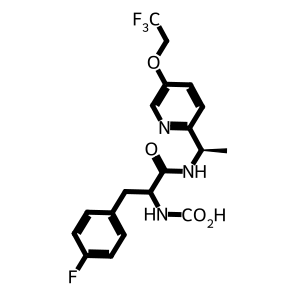 C[C@@H](NC(=O)C(Cc1ccc(F)cc1)NC(=O)O)c1ccc(OCC(F)(F)F)cn1